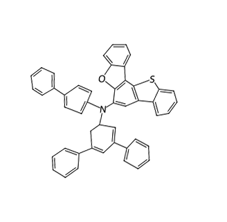 C1=C(c2ccccc2)C=C(c2ccccc2)CC1N(c1ccc(-c2ccccc2)cc1)c1cc2c3ccccc3sc2c2c1oc1ccccc12